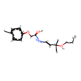 Cc1ccc(OCC(=O)NCCC(C)(C)OCCC(C)C)cc1